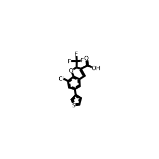 O=C(O)C1=Cc2cc(-c3ccsc3)cc(Cl)c2OC1C(F)(F)F